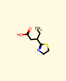 CCC(CC(=O)O)C1=NCCS1